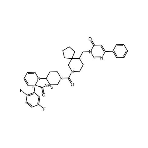 NC(=O)[C@@]1(c2cc(F)ccc2F)C=CC=CN1C1CCN(C(=O)N2CCC(Cn3cnc(-c4ccccc4)cc3=O)C3(CCCC3)C2)CC1